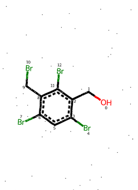 OCc1c(Br)cc(Br)c(CBr)c1Br